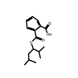 CC(C)CC(OC(=O)c1ccccc1C(=O)O)C(C)C